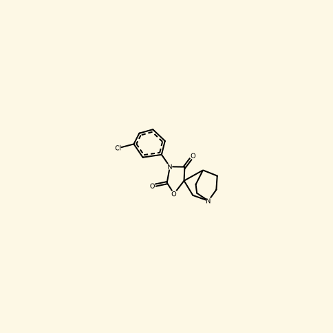 O=C1OC2(CN3CCC2CC3)C(=O)N1c1cccc(Cl)c1